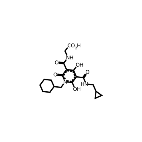 O=C(O)CNC(=O)c1c(O)c(C(=O)NCC2CC2)c(O)n(CC2CCCCC2)c1=O